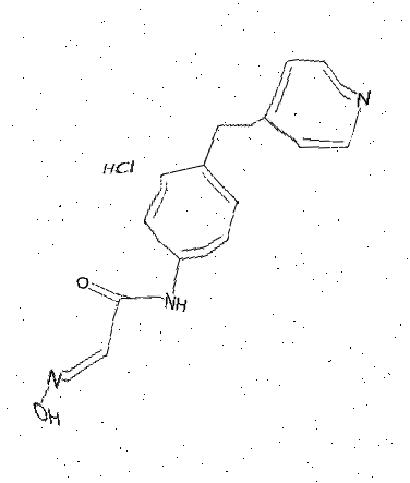 Cl.O=C(C=NO)Nc1ccc(Cc2ccncc2)cc1